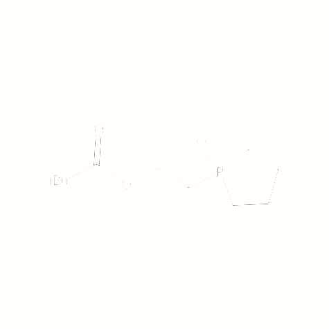 CCC(C)C(=O)OCCP1(=O)CCCC1